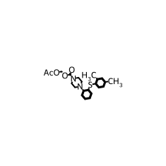 CC(=O)OCOC(=O)N1CCN(c2ccccc2Sc2ccc(C)cc2C)CC1